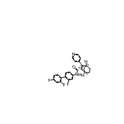 O=C(Nc1ccc(-c2ccc(F)cc2F)c(F)c1)[C@@H]1[C@@H](c2ccncc2)[C@@H]2CC[C@H]1O2